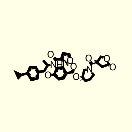 CC(NC(=O)c1ccon1)C(Oc1ccc(C(=O)O[C@H]2CCCN(C(=O)[C@H]3COC(=O)C3)C2)cc1)c1ccc(C2CC2)cc1